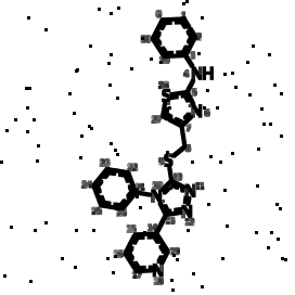 c1ccc(Nc2nc(CSc3nnc(-c4cccnc4)n3-c3ccccc3)cs2)cc1